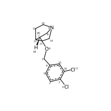 Clc1ccc(CO[C@H]2CN3CCC2CC3)cc1Cl